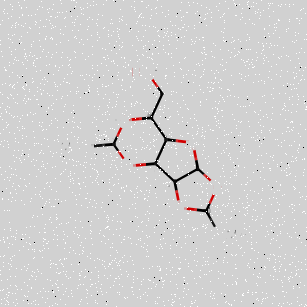 COC1OC2OC3C(CO)OC(OC)OC3C2O1